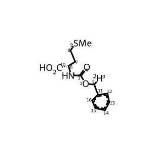 [2H]C(OC(=O)N[C@@H](CCSC)C(=O)O)c1ccccc1